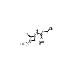 N#CCCC(=S)NC1CN(S(=O)(=O)O)C1=O.[NaH]